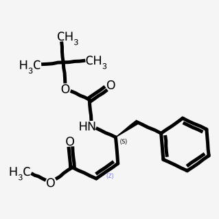 COC(=O)/C=C\[C@H](Cc1ccccc1)NC(=O)OC(C)(C)C